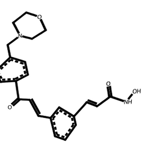 O=C(/C=C/c1cccc(/C=C/C(=O)c2ccc(CN3CCOCC3)cc2)c1)NO